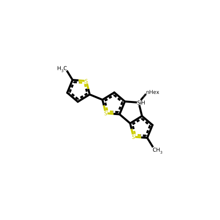 CCCCCC[SiH]1c2cc(C)sc2-c2sc(-c3ccc(C)s3)cc21